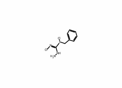 NN/C(=N\Cl)N(Cl)Cc1ccccc1